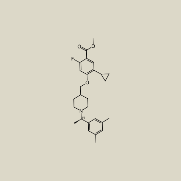 COC(=O)c1cc(C2CC2)c(OCC2CCN([C@H](C)c3cc(C)cc(C)c3)CC2)cc1F